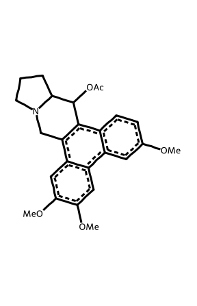 COc1ccc2c3c(c4cc(OC)c(OC)cc4c2c1)CN1CCCC1C3OC(C)=O